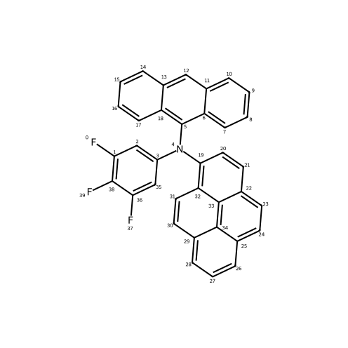 Fc1cc(N(c2c3ccccc3cc3ccccc23)c2ccc3ccc4cccc5ccc2c3c45)cc(F)c1F